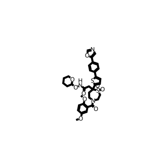 COc1ccc(OC)c(C(=O)N2CCC(CC(=O)NOC3CCCCO3)(c3ccc(-c4ccc(-c5cnco5)cc4)s3)S(=O)(=O)CC2)c1